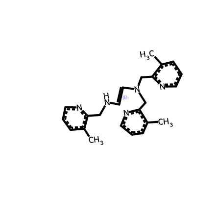 Cc1cccnc1CN/C=C/N(Cc1ncccc1C)Cc1ncccc1C